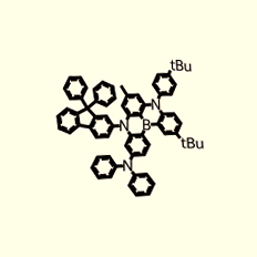 Cc1cc2c3c(c1)N(c1ccc4c(c1)C(c1ccccc1)(c1ccccc1)c1ccccc1-4)c1cc(N(c4ccccc4)c4ccccc4)ccc1B3c1cc(C(C)(C)C)ccc1N2c1ccc(C(C)(C)C)cc1